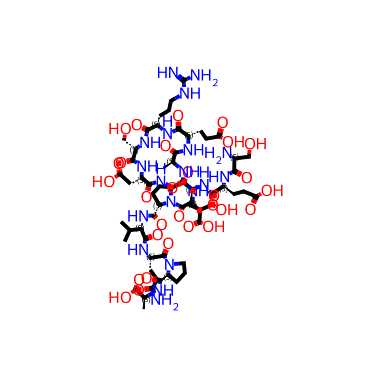 CC(C)[C@H](NC(=O)[C@@H]1CCCN1C(=O)[C@H](CC(=O)O)NC(=O)CNC(=O)[C@H](CC(=O)O)NC(=O)[C@H](CO)NC(=O)[C@H](CCCNC(=N)N)NC(=O)[C@H](CCC(=O)O)NC(=O)[C@H](C)NC(=O)[C@H](CCC(=O)O)NC(=O)[C@H](CCC(=O)O)NC(=O)[C@@H](N)CO)C(=O)N[C@@H](CCC(N)=O)C(=O)N1CCC[C@H]1C(=O)N[C@@H](C)C(=O)O